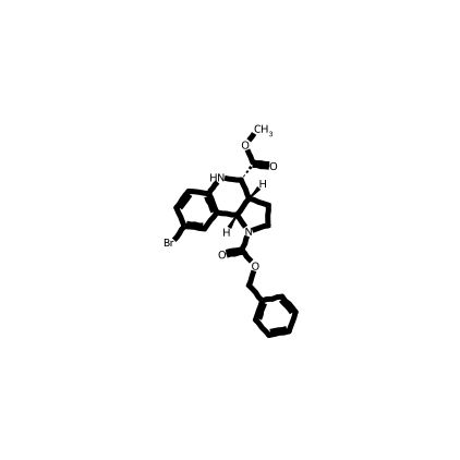 COC(=O)[C@H]1Nc2ccc(Br)cc2[C@@H]2[C@H]1CCN2C(=O)OCc1ccccc1